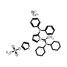 C[C@H]([c-]1cccc1P(c1ccccc1)c1ccccc1)P(C1CCCCC1)C1CCCCC1.O=S(=O)([O-])C(F)(F)F.[Fe+2].[Rh+].c1cc[cH-]c1